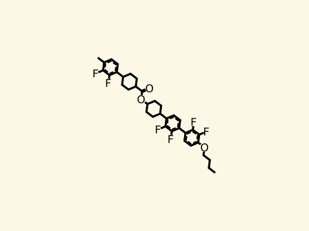 CCCCOc1ccc(-c2ccc(C3CCC(OC(=O)C4CCC(c5ccc(C)c(F)c5F)CC4)CC3)c(F)c2F)c(F)c1F